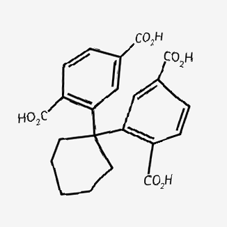 O=C(O)c1ccc(C(=O)O)c(C2(c3cc(C(=O)O)ccc3C(=O)O)CCCCC2)c1